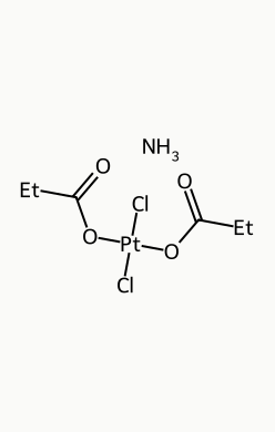 CCC(=O)[O][Pt]([Cl])([Cl])[O]C(=O)CC.N